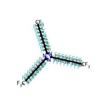 FC(F)(F)C(F)(F)C(F)(F)C(F)(F)C(F)(F)C(F)(F)C(F)(F)C(F)(F)C(F)(F)c1nc(C(F)(F)C(F)(F)C(F)(F)C(F)(F)C(F)(F)C(F)(F)C(F)(F)C(F)(F)C(F)(F)F)nc(C(F)(F)C(F)(F)C(F)(F)C(F)(F)C(F)(F)C(F)(F)C(F)(F)C(F)(F)C(F)(F)F)n1